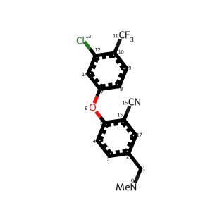 CNCc1ccc(Oc2ccc(C(F)(F)F)c(Cl)c2)c(C#N)c1